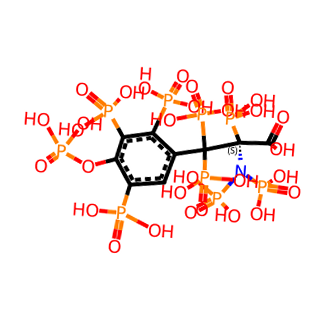 O=C(O)[C@@](N(P(=O)(O)O)P(=O)(O)O)(C(c1cc(P(=O)(O)O)c(OP(=O)(O)O)c(P(=O)(O)O)c1P(=O)(O)O)(P(=O)(O)O)P(=O)(O)O)P(=O)(O)O